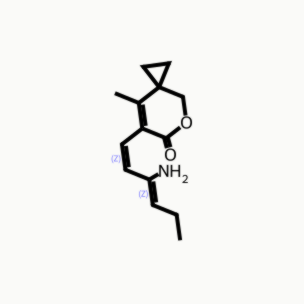 CC/C=C(N)/C=C\C1=C(C)C2(CC2)COC1=O